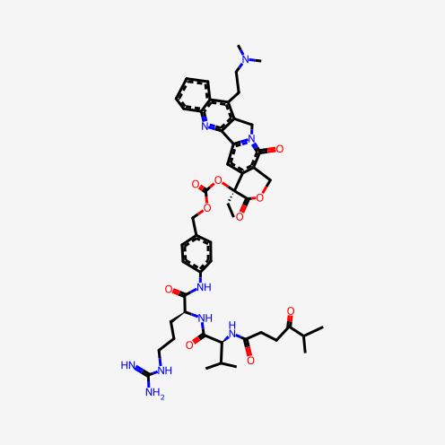 CC[C@@]1(OC(=O)OCc2ccc(NC(=O)[C@H](CCCNC(=N)N)NC(=O)[C@@H](NC(=O)CCC(=O)C(C)C)C(C)C)cc2)C(=O)OCc2c1cc1n(c2=O)Cc2c-1nc1ccccc1c2CCN(C)C